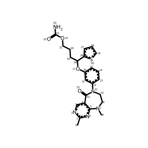 Cc1ncc2c(n1)N(C)CCN(c1cccc(OC(CCCOC(N)=O)c3cccs3)c1)C2=O